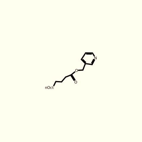 CCCCCCCCCCCC(=O)OCc1cccnc1